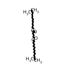 CC(C)CCCCCCCCCCCOC(=O)CCCC(=O)OCCCCCCCCCCCC(C)C